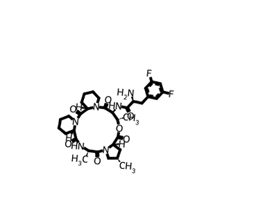 C[C@H]1C[C@H]2C(=O)O[C@@H](C)[C@H](NC(=O)[C@@H](N)Cc3cc(F)cc(F)c3)C(=O)N3CCCC[C@H]3C(=O)N3CCCC[C@H]3C(=O)N[C@@H](C)C(=O)N2C1